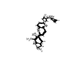 Cc1c(O)c(-c2ccc3nc(N4CCC(NC5CC5)C4)ccc3n2)cc2cn(C)nc12